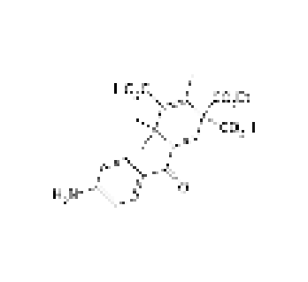 CCOC(=O)C1(C(=O)O)C=C(C(=O)c2ccc(N)cc2)C(C)(C)C(C(=O)O)=C1C